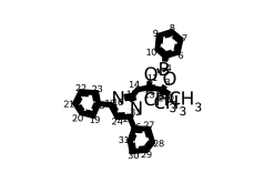 CC1(C)OB(c2ccccc2)OC1(C)Cc1nc(-c2ccccc2)cc(-c2ccccc2)n1